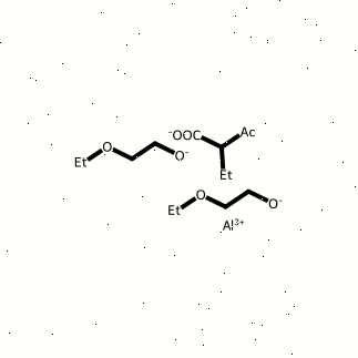 CCC(C(C)=O)C(=O)[O-].CCOCC[O-].CCOCC[O-].[Al+3]